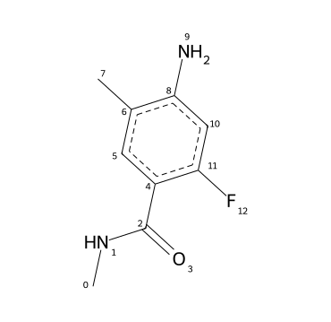 CNC(=O)c1cc(C)c(N)cc1F